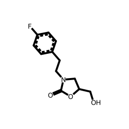 O=C1OC(CO)CN1CCc1ccc(F)cc1